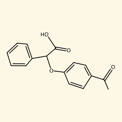 CC(=O)c1ccc(OC(C(=O)O)c2ccccc2)cc1